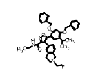 CCNC(=O)c1noc(-c2cc(C(C)C)c(OCc3ccccc3)cc2OCc2ccccc2)c1-c1ccc2c(c1)CCN(CCF)C2